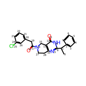 CC(c1ccccc1)c1nc2c(c(=O)[nH]1)CN(C(=O)Cc1cccc(Cl)c1)CC2